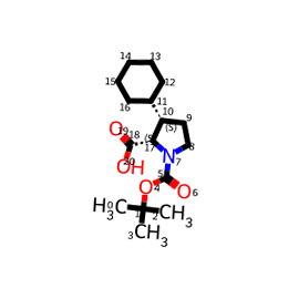 CC(C)(C)OC(=O)N1CC[C@@H](C2CCCCC2)[C@H]1C(=O)O